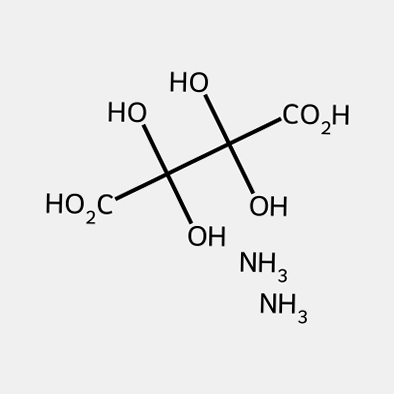 N.N.O=C(O)C(O)(O)C(O)(O)C(=O)O